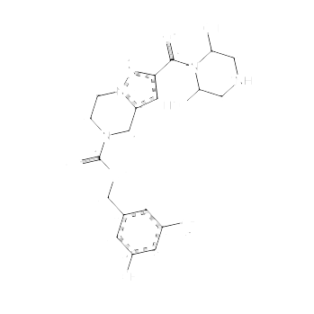 CC1CNCC(C)N1C(=O)c1cc2n(n1)CCN(C(=O)OCc1cc(C(F)(F)F)cc(C(F)(F)F)c1)C2